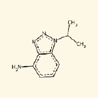 CC(C)n1nnc2c(N)cccc21